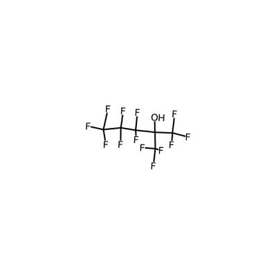 OC(C(F)(F)F)(C(F)(F)F)C(F)(F)C(F)(F)C(F)(F)F